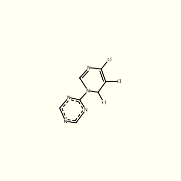 ClC1=C(Cl)C(Cl)N(c2ncncn2)[C]=N1